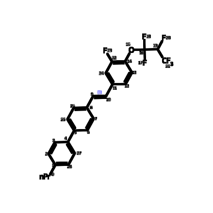 CCCc1ccc(-c2ccc(/C=C/c3ccc(OC(F)(F)C(F)C(F)(F)F)c(F)c3)cc2)cc1